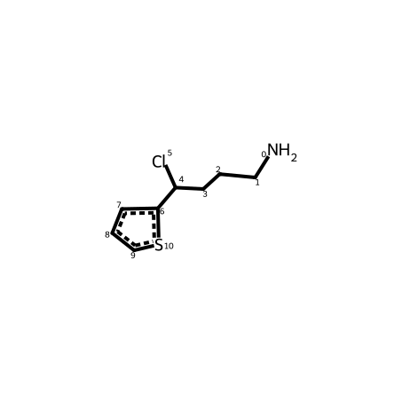 NCCCC(Cl)c1cccs1